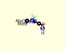 COc1ccc([C@@H]2C[C@H](C(F)F)n3nc(-c4ccc(C(=O)N5CCNCC5)cc4)cc3N2)cc1OC